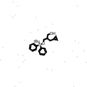 CC(C)(C)[Si](OCC(CO)CC1CC1)(c1ccccc1)c1ccccc1